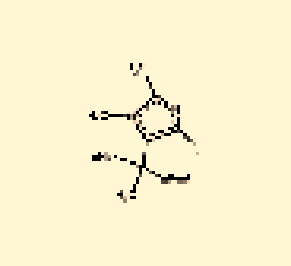 CCCCCCC(C)(CCCCC)c1c(Cl)nc(C)n1C